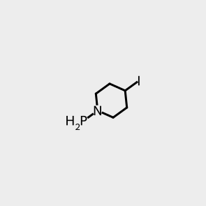 PN1CCC(I)CC1